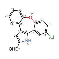 O=Cc1cc2c([nH]1)-c1cc(Cl)ccc1Oc1ccccc1-2